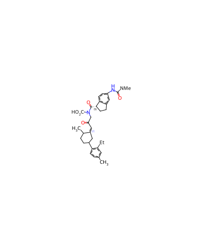 CCc1cc(C)ccc1C1CCC(C)/C(=C\C(=O)CN(C(=O)O)C(=O)[C@H]2CCc3cc(NC(=O)NC)ccc32)C1